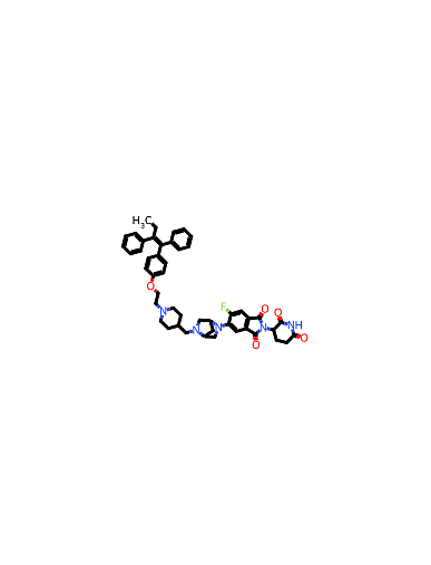 CCC(=C(c1ccccc1)c1ccc(OCCN2CCC(CN3CC4CC3CN4c3cc4c(cc3F)C(=O)N(C3CCC(=O)NC3=O)C4=O)CC2)cc1)c1ccccc1